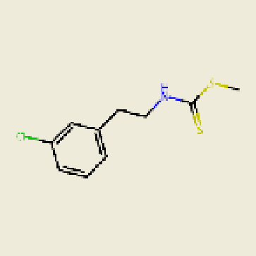 CSC(=S)NCCc1cccc(Cl)c1